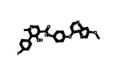 COc1cnc2c(Oc3ccc(NC(=O)c4cnc(C)c(-c5ccc(F)cc5)c4O)cc3)ccnc2c1